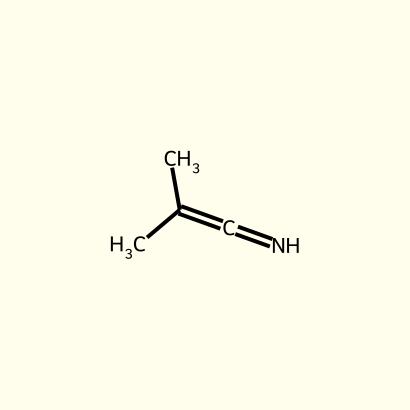 CC(C)=C=N